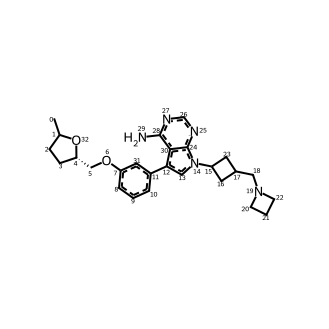 CC1CC[C@@H](COc2cccc(-c3cn(C4CC(CN5CCC5)C4)c4ncnc(N)c34)c2)O1